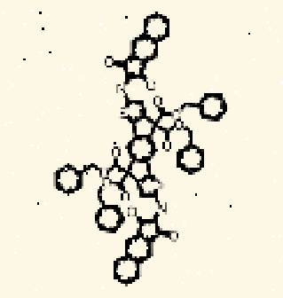 O=C(OCc1ccccc1)C1(C(=O)OCc2ccccc2)c2cc3c(cc2-c2sc(N=c4c(=O)c5cc6ccccc6cc5c4=O)cc21)C(C(=O)OCc1ccccc1)(C(=O)OCc1ccccc1)c1cc(N=c2c(=O)c4cc5ccccc5cc4c2=O)sc1-3